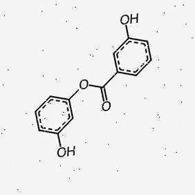 O=C(Oc1cccc(O)c1)c1cccc(O)c1